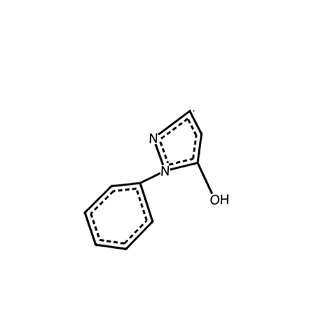 Oc1c[c]nn1-c1ccccc1